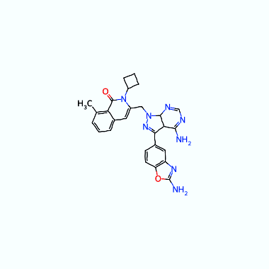 Cc1cccc2cc(CN3N=C(c4ccc5oc(N)nc5c4)C4C(N)=NC=NC43)n(C3CCC3)c(=O)c12